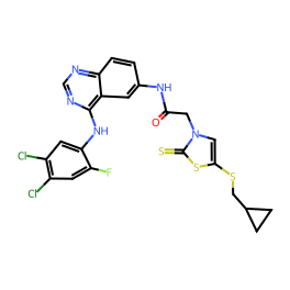 O=C(Cn1cc(SCC2CC2)sc1=S)Nc1ccc2ncnc(Nc3cc(Cl)c(Cl)cc3F)c2c1